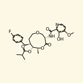 COc1ccnc(C(=O)N[C@H]2COCC[C@H](Cc3ccc(F)cc3)[C@@H](OC(=O)C(C)C)[C@H](C)OC2=O)c1O